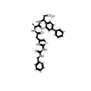 C[C@H](NC(=O)Cc1csc(NC(=O)NCc2ccccc2)n1)C(=O)NC(CC(=O)O)c1ccc(-c2ccccc2)cc1